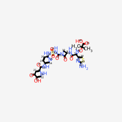 CC(C)(ON=C(C(=O)N[C@H]1CN(C(=O)NS(=O)(=O)Nc2ccc(NC(=O)c3cc(=O)c(O)c[nH]3)cn2)C1=O)c1csc(N)n1)C(=O)O